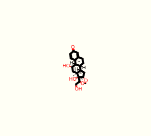 CO[C@@H]1C[C@H]2[C@@H]3CCC4=CC(=O)C=C[C@]4(C)[C@H]3[C@@H](O)C[C@]2(C)[C@@]1(O)C(=O)CO